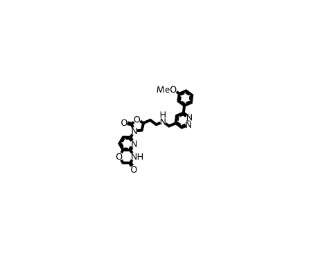 COc1cccc(-c2cc(CNCCC3CN(c4ccc5c(n4)NC(=O)CO5)C(=O)O3)cnn2)c1